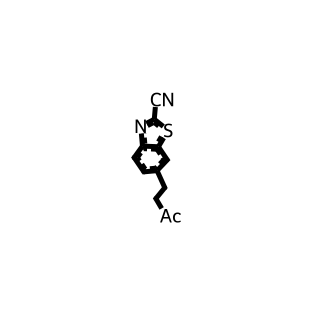 CC(=O)CCc1ccc2nc(C#N)sc2c1